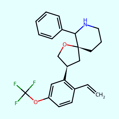 C=Cc1ccc(OC(F)(F)F)cc1[C@H]1CO[C@@]2(CCCNC2c2ccccc2)C1